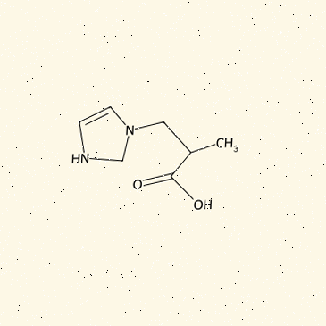 CC(CN1C=CNC1)C(=O)O